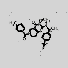 COn1c(N[C@@H](C)c2ccc(C(F)(F)F)cc2)nc2c(c1=O)CN(C(=O)c1ccc(C)cc1)CC2